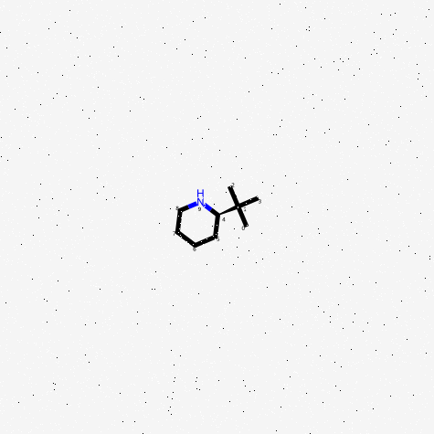 CC(C)(C)[C@H]1CCCCN1